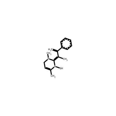 C=C(/C(C)=C1\N(C)CC=C(C)N1S)c1ccccc1